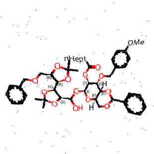 CCCCCCCC(=O)O[C@@H]1[C@H](OC(O)[C@H]2OC(C)(C)O[C@H]2[C@@H]2OC(C)(C)O[C@@H]2COCc2ccccc2)O[C@@H]2COC(c3ccccc3)O[C@H]2[C@@H]1OCc1ccc(OC)cc1